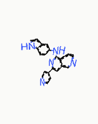 c1cc(-c2cc3cnccc3c(Nc3ccc4[nH]ccc4c3)n2)ccn1